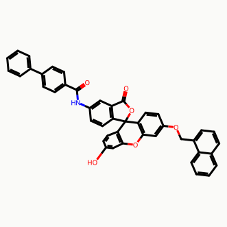 O=C(Nc1ccc2c(c1)C(=O)OC21c2ccc(O)cc2Oc2cc(OCc3cccc4ccccc34)ccc21)c1ccc(-c2ccccc2)cc1